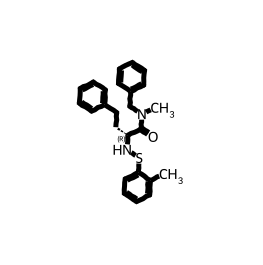 Cc1ccccc1SN[C@H](CCc1ccccc1)C(=O)N(C)Cc1ccccc1